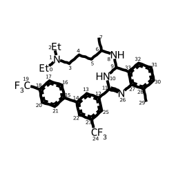 CCN(CC)CCCC(C)NC1NC(c2cc(-c3ccc(C(F)(F)F)cc3)cc(C(F)(F)F)c2)=Nc2c(C)cccc21